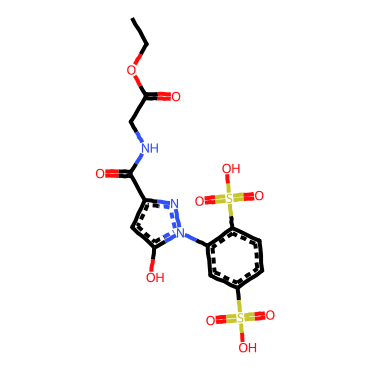 CCOC(=O)CNC(=O)c1cc(O)n(-c2cc(S(=O)(=O)O)ccc2S(=O)(=O)O)n1